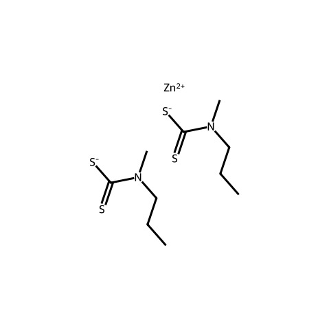 CCCN(C)C(=S)[S-].CCCN(C)C(=S)[S-].[Zn+2]